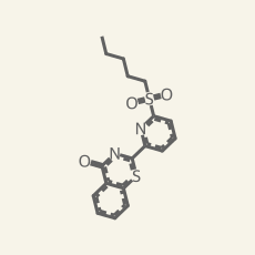 CCCCCS(=O)(=O)c1cccc(-c2nc(=O)c3ccccc3s2)n1